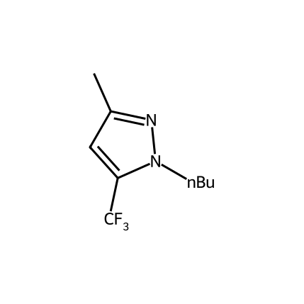 CCCCn1nc(C)cc1C(F)(F)F